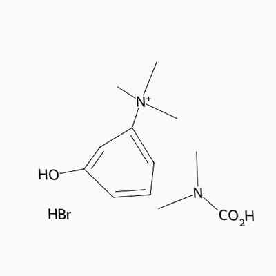 Br.CN(C)C(=O)O.C[N+](C)(C)c1cccc(O)c1